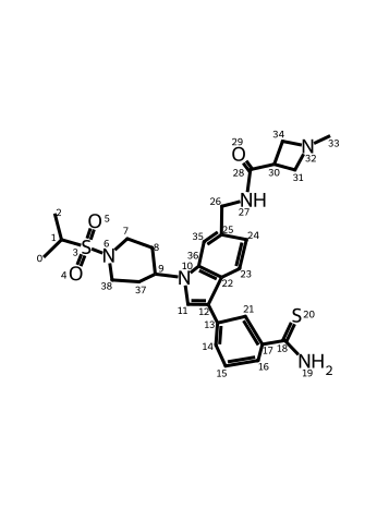 CC(C)S(=O)(=O)N1CCC(n2cc(-c3cccc(C(N)=S)c3)c3ccc(CNC(=O)C4CN(C)C4)cc32)CC1